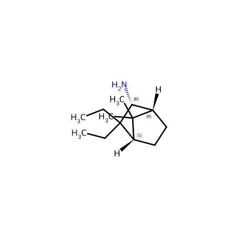 CCC1(CC)[C@H](N)[C@@H]2CC[C@H]1C2(C)C